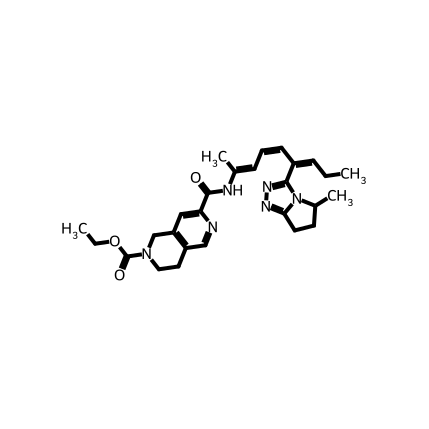 CC/C=C(/C=C\C=C(/C)NC(=O)c1cc2c(cn1)CCN(C(=O)OCC)C2)c1nnc2n1C(C)CC2